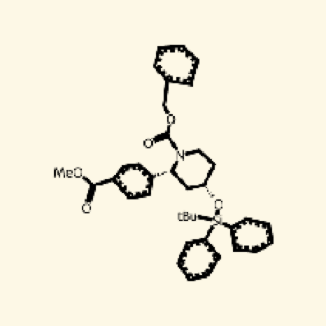 COC(=O)c1ccc([C@H]2C[C@@H](O[Si](c3ccccc3)(c3ccccc3)C(C)(C)C)CCN2C(=O)OCc2ccccc2)cc1